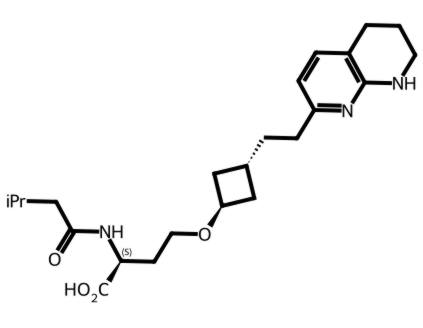 CC(C)CC(=O)N[C@@H](CCO[C@H]1C[C@H](CCc2ccc3c(n2)NCCC3)C1)C(=O)O